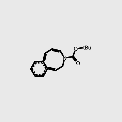 CC(C)(C)OC(=O)N1C=CC=c2ccccc2=CC1